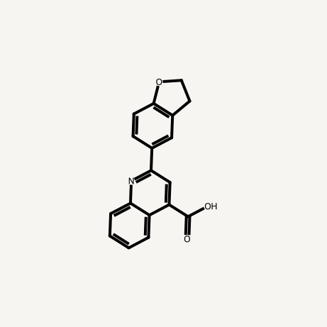 O=C(O)c1cc(-c2ccc3c(c2)CCO3)nc2ccccc12